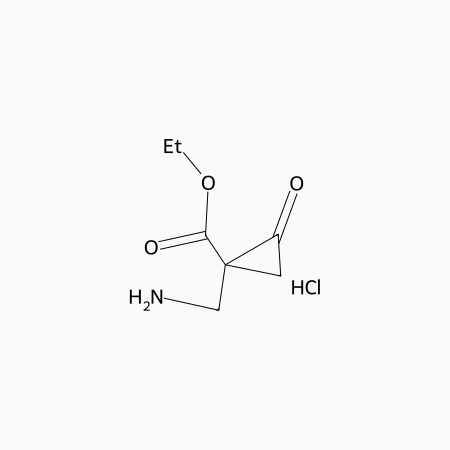 CCOC(=O)C1(CN)CC1=O.Cl